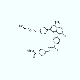 COC(=O)c1ccc(CNC(=O)c2ccc(-n3c(=O)ccc4c(C)nc(N5CCN(CCOCCO)CC5)nc43)cc2)cc1